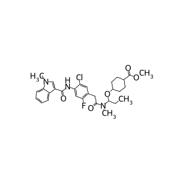 CCC(OC1CCC(C(=O)OC)CC1)N(C)C(=O)Cc1cc(Cl)c(NC(=O)c2cn(C)c3ccccc23)cc1F